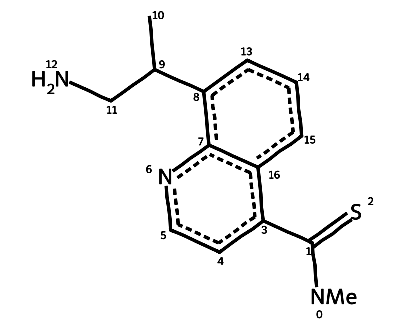 CNC(=S)c1ccnc2c(C(C)CN)cccc12